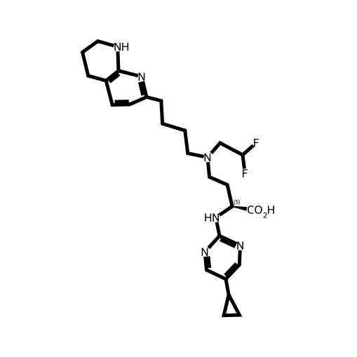 O=C(O)[C@H](CCN(CCCCc1ccc2c(n1)NCCC2)CC(F)F)Nc1ncc(C2CC2)cn1